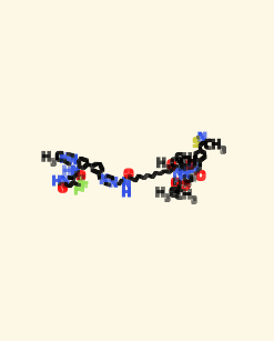 Cc1ncsc1-c1ccc(CNC(=O)[C@@H]2C[C@@H](OC(=O)C(C)C)CN2C(=O)[C@@H](NC(=O)CCCCCCCCCC(=O)NCCN2CCN(Cc3cccc(-c4ccc(N5CCN(C)CC5)c(NC(=O)c5c[nH]c(=O)cc5C(F)(F)F)c4)c3)CC2)C(C)(C)C)cc1